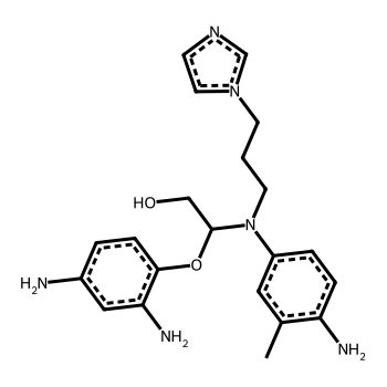 Cc1cc(N(CCCn2ccnc2)C(CO)Oc2ccc(N)cc2N)ccc1N